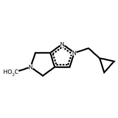 O=C(O)N1Cc2cn(CC3CC3)nc2C1